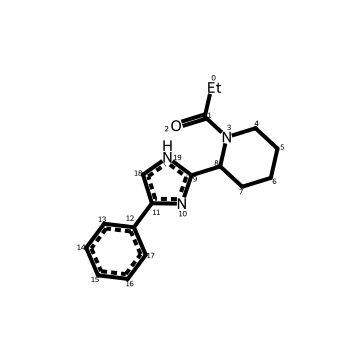 CCC(=O)N1CCCCC1c1nc(-c2ccccc2)c[nH]1